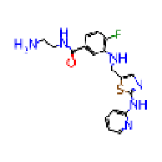 NCCNC(=O)c1ccc(F)c(NCc2cnc(Nc3ccccn3)s2)c1